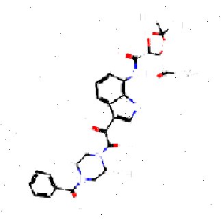 COC(=O)[C@H]1OC(C)(C)O[C@@H]1C(=O)Nc1cccc2c(C(=O)C(=O)N3CCN(C(=O)c4ccccc4)C[C@H]3C)c[nH]c12